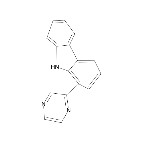 c1ccc2c(c1)[nH]c1c(-c3cnccn3)cccc12